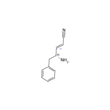 N#C/C=C/[C@H](N)Cc1ccccc1